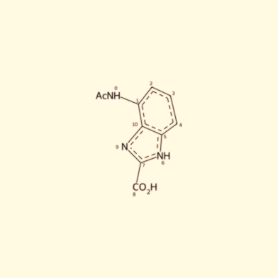 CC(=O)Nc1cccc2[nH]c(C(=O)O)nc12